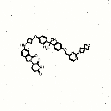 CC(C)(c1ccc(OCc2ccnc(N3CC4(COC4)C3)n2)cc1)c1ccc(O[C@H]2C[C@@H](Nc3ccc4c(c3)C(=O)N(C3CCC(=O)NC3=O)C4)C2)cc1